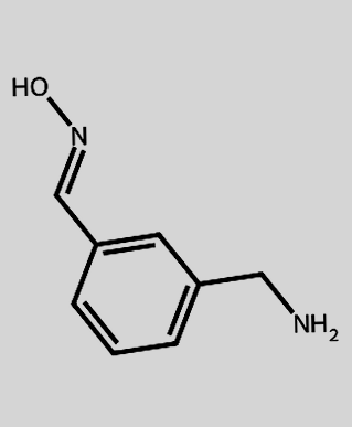 NCc1cccc(C=NO)c1